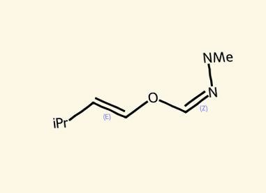 CN/N=C\O/C=C/C(C)C